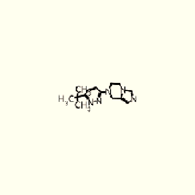 CC(C)(C)c1ccc(N2CCn3cncc3C2)nn1